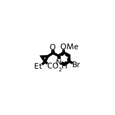 CCC1(C(=O)O)CC1C(=O)c1ncc(Br)cc1OC